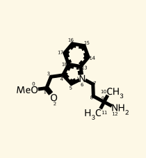 COC(=O)Cc1cn(CCC(C)(C)N)c2ccccc12